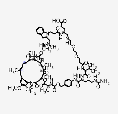 CNN(C)Cc1cc2ccccc2n1CCC(=O)N[C@@H](CCC(=O)O)CNCCOCCOCCC(=O)N[C@H](C(=O)N[C@@H](CCCNC(N)=O)C(=O)Nc1ccc(COC(=O)N[C@@H](C)C(=O)O[C@H]2CC(=O)N(C)c3cc(cc(OC)c3Cl)C/C(C)=C/C=C/[C@@H](OC)[C@@]3(O)C[C@H](OC(=O)N3)[C@@H](C)[C@@H]3O[C@@]23C)cc1)C(C)C